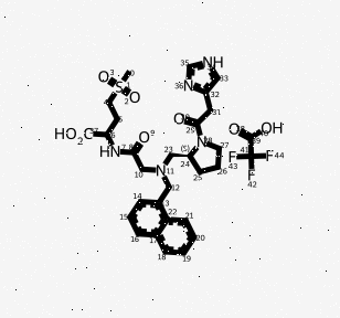 CS(=O)(=O)CCC(NC(=O)CN(Cc1cccc2ccccc12)C[C@@H]1CCCN1C(=O)Cc1c[nH]cn1)C(=O)O.O=C(O)C(F)(F)F